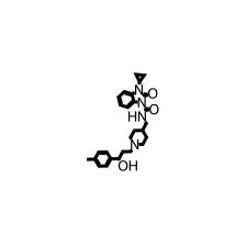 Cc1ccc(C(O)CCN2CCC(CNC(=O)n3c(=O)n(C4CC4)c4ccccc43)CC2)cc1